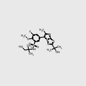 COc1c(F)cc(-c2c(C)nc3sc(C(C)(C)O)nn23)cc1S(=O)(=O)NC(C)(C)CO